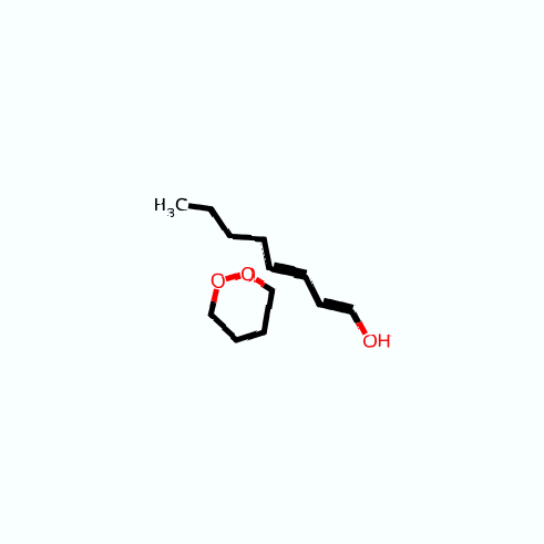 C1CCOOC1.CCCCC=CC=CO